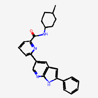 CC1CCC(NC(=O)c2cccc(-c3cnc4[nH]c(-c5ccccc5)cc4c3)n2)CC1